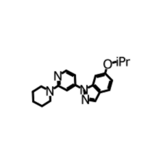 CC(C)Oc1ccc2cnn(-c3ccnc(N4CCCCC4)c3)c2c1